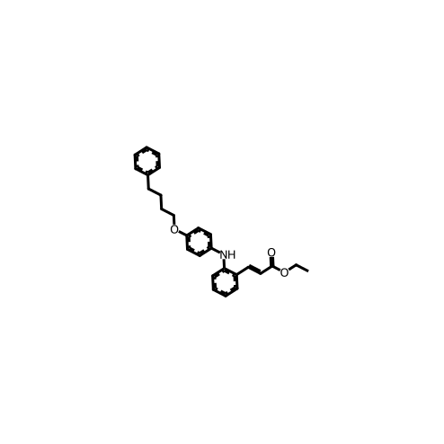 CCOC(=O)/C=C/c1ccccc1Nc1ccc(OCCCCc2ccccc2)cc1